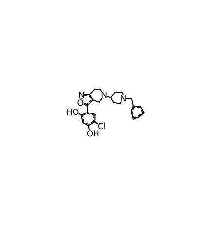 Oc1cc(O)c(-c2onc3c2CN(C2CCN(Cc4ccccc4)CC2)CC3)cc1Cl